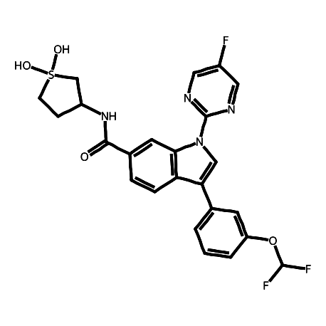 O=C(NC1CCS(O)(O)C1)c1ccc2c(-c3cccc(OC(F)F)c3)cn(-c3ncc(F)cn3)c2c1